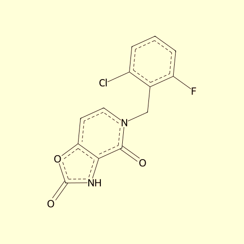 O=c1[nH]c2c(=O)n(Cc3c(F)cccc3Cl)ccc2o1